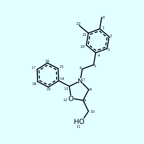 Cc1ccc(CCN2CC(CO)OC2c2ccccc2)cc1C